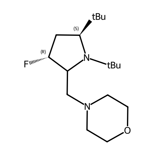 CC(C)(C)[C@@H]1C[C@@H](F)C(CN2CCOCC2)N1C(C)(C)C